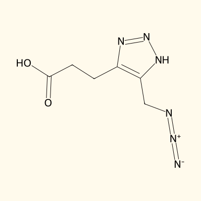 [N-]=[N+]=NCc1[nH]nnc1CCC(=O)O